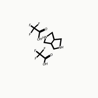 C1NCC2CNCC12.O=C(O)C(F)(F)F.O=C(O)C(F)(F)F